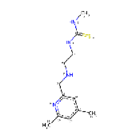 CNC(=S)NCCNCc1cc(C)cc(C)n1